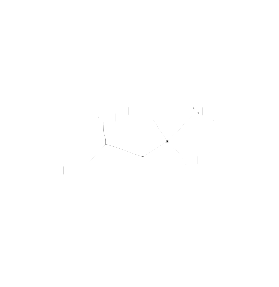 CC(O)CC(C)(C)N